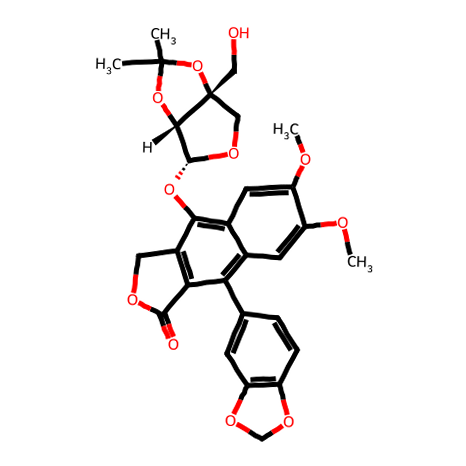 COc1cc2c(O[C@H]3OC[C@@]4(CO)OC(C)(C)O[C@@H]34)c3c(c(-c4ccc5c(c4)OCO5)c2cc1OC)C(=O)OC3